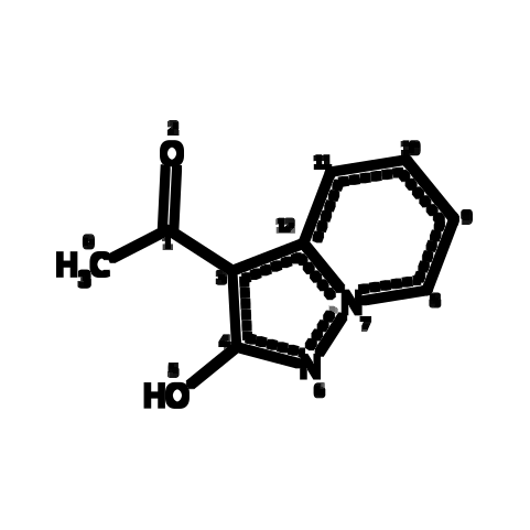 CC(=O)c1c(O)nn2ccccc12